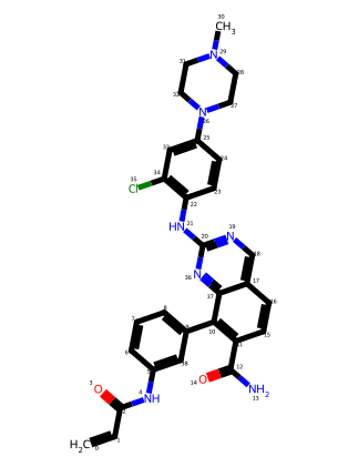 C=CC(=O)Nc1cccc(-c2c(C(N)=O)ccc3cnc(Nc4ccc(N5CCN(C)CC5)cc4Cl)nc23)c1